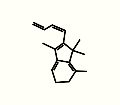 C=C/C=C\C1=C(C)C2=CCCC(C)=C2C1(C)C